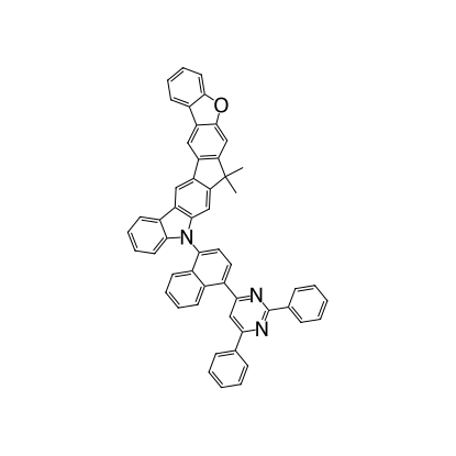 CC1(C)c2cc3oc4ccccc4c3cc2-c2cc3c4ccccc4n(-c4ccc(-c5cc(-c6ccccc6)nc(-c6ccccc6)n5)c5ccccc45)c3cc21